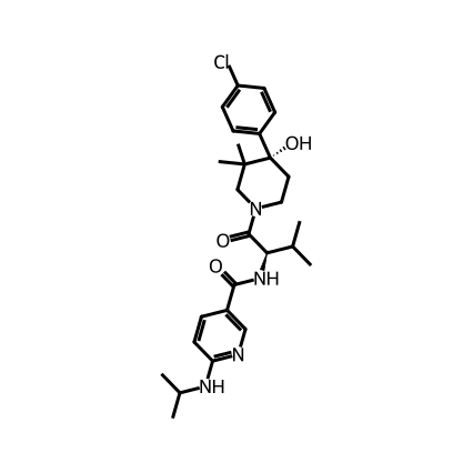 CC(C)Nc1ccc(C(=O)N[C@@H](C(=O)N2CC[C@](O)(c3ccc(Cl)cc3)C(C)(C)C2)C(C)C)cn1